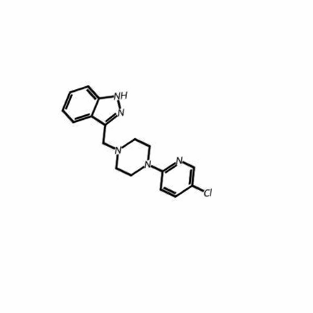 Clc1ccc(N2CCN(Cc3n[nH]c4ccccc34)CC2)nc1